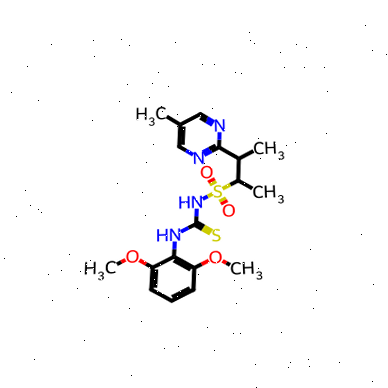 COc1cccc(OC)c1NC(=S)NS(=O)(=O)C(C)C(C)c1ncc(C)cn1